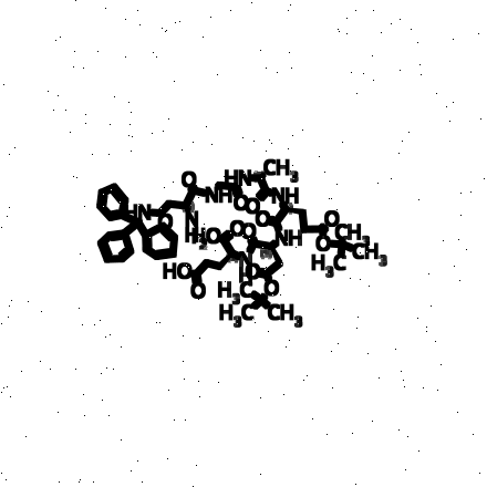 C[C@H](NC(=O)CNC(=O)[C@@H](N)CC(=O)NC(c1ccccc1)(c1ccccc1)c1ccccc1)C(=O)N[C@@H](CCC(=O)OC(C)(C)C)C(=O)N[C@@H](CC(=O)OC(C)(C)C)C(=O)N[C@@H](CCC(=O)O)C(=O)O